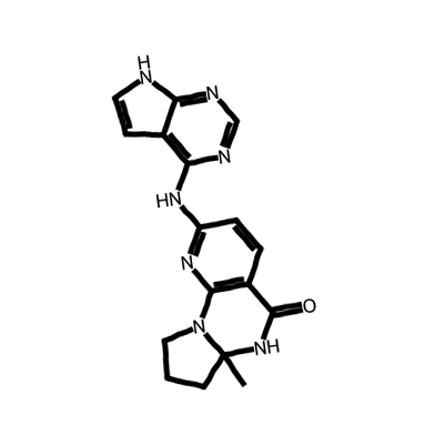 CC12CCCN1c1nc(Nc3ncnc4[nH]ccc34)ccc1C(=O)N2